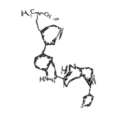 CN(C)Cc1cncc(-c2ccc3[nH]nc(-c4nc5c(-c6ccsc6)nccc5[nH]4)c3c2)c1